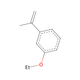 C=C(C)c1cccc(OCC)c1